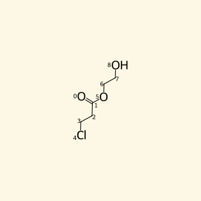 O=C(CCCl)OCCO